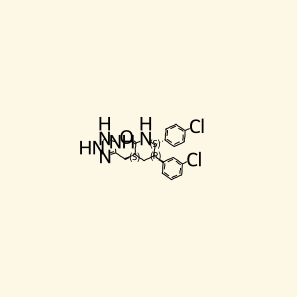 O=C1N[C@H](c2ccc(Cl)cc2)[C@@H](c2cccc(Cl)c2)C[C@H]1CC1=NNNN1